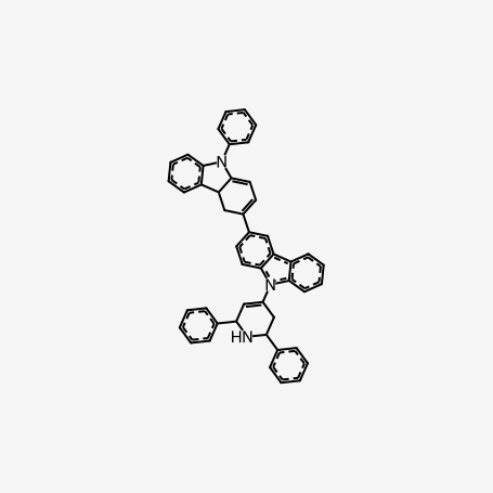 C1=C(c2ccc3c(c2)c2ccccc2n3C2=CC(c3ccccc3)NC(c3ccccc3)C2)CC2C(=C1)N(c1ccccc1)c1ccccc12